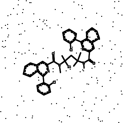 CCC(C)(CC(C)(C)N(C)C(=O)c1cc2ccccc2c(-c2ccccc2Cl)n1)N(C)C(=O)c1cc2ccccc2c(-c2ccccc2Cl)n1